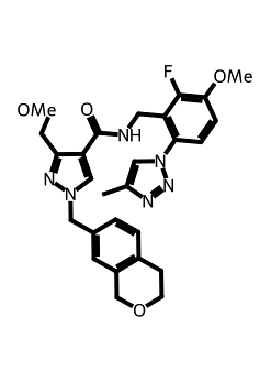 COCc1nn(Cc2ccc3c(c2)COCC3)cc1C(=O)NCc1c(-n2cc(C)nn2)ccc(OC)c1F